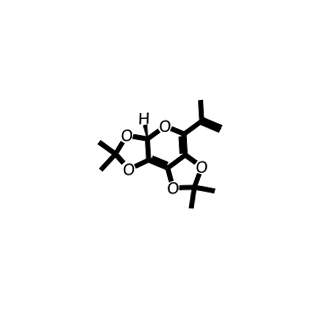 C=C(C)C1=C2OC(C)(C)OC2=C2OC(C)(C)O[C@@H]2O1